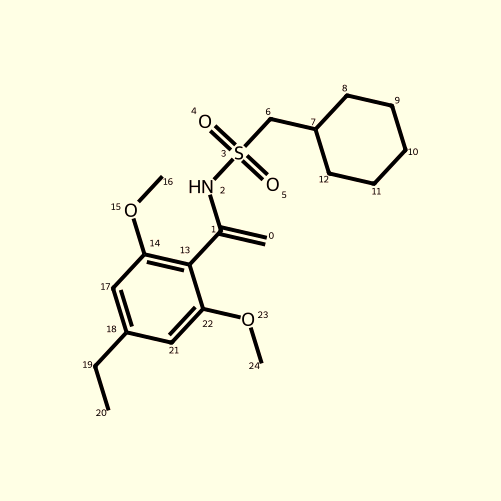 C=C(NS(=O)(=O)CC1CCCCC1)c1c(OC)cc(CC)cc1OC